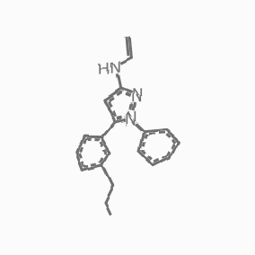 C=CNc1cc(-c2cccc(CCC)c2)n(-c2ccccc2)n1